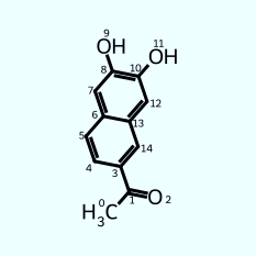 CC(=O)c1ccc2cc(O)c(O)cc2c1